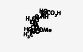 COc1ccc2c3c1O[C@H]1C(OC(=O)[C@@H](C)OC(=O)CCNC(=O)C[C@H](O)C(=O)O)=CC[C@@]4(O)[C@@H](C2)N(C)CC[C@]314